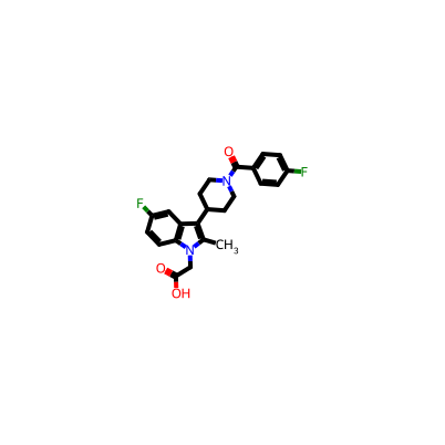 Cc1c(C2CCN(C(=O)c3ccc(F)cc3)CC2)c2cc(F)ccc2n1CC(=O)O